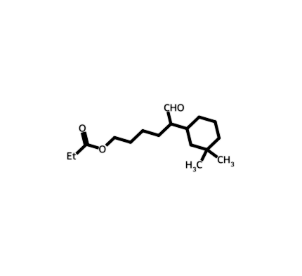 CCC(=O)OCCCCC(C=O)C1CCCC(C)(C)C1